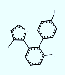 Cc1ccsc1-c1[c]ccc(Cl)c1-c1ccc(F)cc1